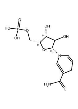 NC(=O)C1=CN([C@@H]2O[C@H](COP(=O)(O)O)[C@H](O)C2O)C=CC1